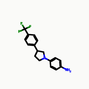 Nc1ccc(N2CCC(c3ccc(C(F)(F)F)cc3)C2)cc1